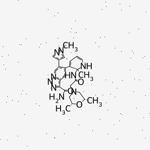 C[C@@H]1CN(CC(=O)NC2(C)NC=CC=C2c2cc3c(C(N)=O)nnn3cc2-c2cnn(C)c2)C[C@H](C)O1